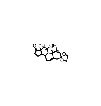 CC12CC(O)C3C(CC=C4CC5(CCC43C)OCCO5)C1CCC2=O